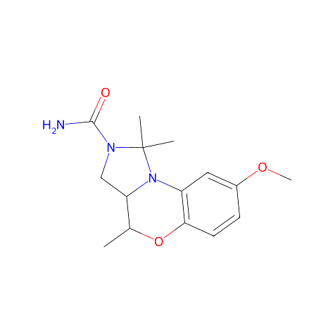 COc1ccc2c(c1)N1C(CN(C(N)=O)C1(C)C)C(C)O2